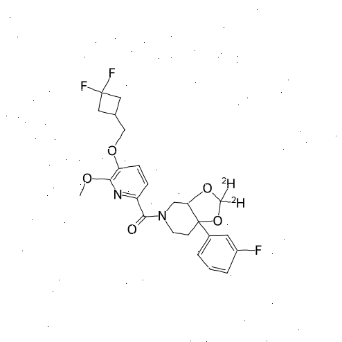 [2H]C1([2H])OC2CN(C(=O)c3ccc(OCC4CC(F)(F)C4)c(OC)n3)CCC2(c2cccc(F)c2)O1